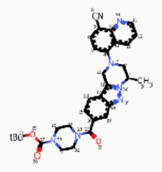 C[C@@H]1CN(c2ccc(C#N)c3ncccc23)Cc2c3ccc(C(=O)N4CCN(C(=O)OC(C)(C)C)CC4)cc3nn21